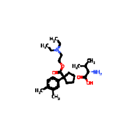 CC(C)[C@H](N)C(=O)O.CCN(CC)CCOC(=O)C1(c2ccc(C)c(C)c2)CCCC1